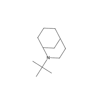 CC(C)(C)N1CCC2CCCC1C2